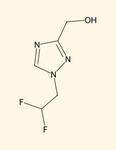 OCc1ncn(CC(F)F)n1